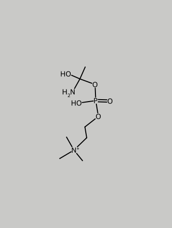 CC(N)(O)OP(=O)(O)OCC[N+](C)(C)C